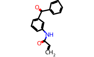 C=CC(=O)Nc1cccc(C(=O)c2ccccc2)c1